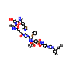 CCC12CC(C3=C(CN4CCN(c5ccc(C(=O)NS(=O)(=O)c6ccc(N[C@H](CCN7CCN(C(=O)CCCCC(=O)N[C@H](C(=O)N8C[C@H](O)C[C@H]8C(=O)N[C@@H](C)c8ccc(-c9scnc9C)cc8)C(C)(C)C)CC7)CSc7ccccc7)c(S(=O)(=O)C(F)(F)F)c6)cc5)CC4)CCC(C)(C)C3)(C1)C2